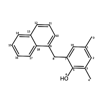 Cc1cc(C)c(O)c(Cc2cccc3ccccc23)c1